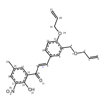 C=CCOCc1cc(/C=C/C(=O)c2cc(C)cc([N+](=O)[O-])c2O)ccc1OCC=C